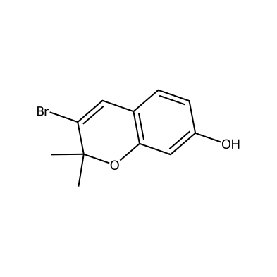 CC1(C)Oc2cc(O)ccc2C=C1Br